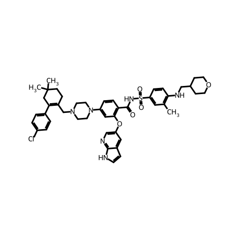 Cc1cc(S(=O)(=O)NC(=O)c2ccc(N3CCN(CC4=C(c5ccc(Cl)cc5)CC(C)(C)CC4)CC3)cc2Oc2cnc3[nH]ccc3c2)ccc1NCC1CCOCC1